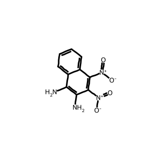 Nc1c([N+](=O)[O-])c([N+](=O)[O-])c2ccccc2c1N